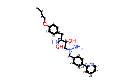 CCCCOc1ccc(CC(NO)C(O)CN(N)Cc2ccc(-c3ccccn3)cc2)cc1